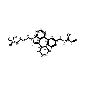 C=CC(=O)NCc1cccc(-c2ncnc3c2c(C2CCOCC2)cn3COCC[Si](C)(C)C)c1